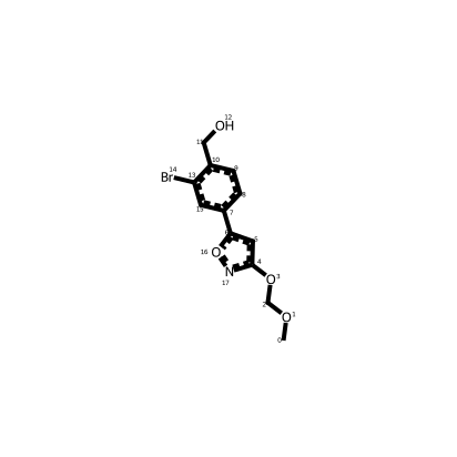 COCOc1cc(-c2ccc(CO)c(Br)c2)on1